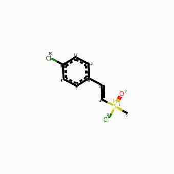 C[SH](=O)(Cl)/C=C/c1ccc(Cl)cc1